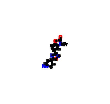 CC(C)n1c(=O)oc2ccc(-c3noc(C4CCNCC4)n3)cc21